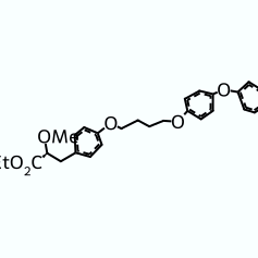 CCOC(=O)[C@H](Cc1ccc(OCCCCOc2ccc(Oc3ccccc3)cc2)cc1)OC